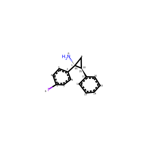 N[C@]1(c2ccc(I)cc2)C[C@H]1c1ccccc1